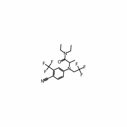 CCN(CC)C(=O)C(C)N(CC(F)(F)F)c1ccc(C#N)c(C(F)(F)F)c1